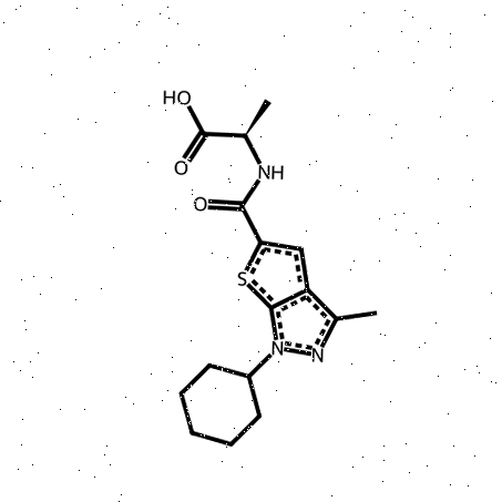 Cc1nn(C2CCCCC2)c2sc(C(=O)N[C@H](C)C(=O)O)cc12